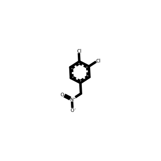 O=[N+]([O-])Cc1ccc(Cl)c(Cl)c1